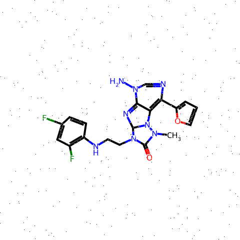 CN1C(=O)N(CCNc2ccc(F)cc2F)C2N=C3C(=C(c4ccco4)N=CN3N)N21